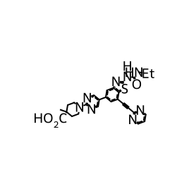 CCNC(=O)Nc1nc2cc(-c3cnc(N4CCC(C)(C(=O)O)CC4)nc3)cc(C#Cc3ncccn3)c2s1